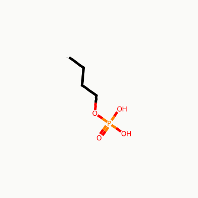 [CH2]CCCOP(=O)(O)O